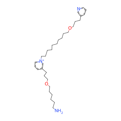 NCCCCCCOCCCc1ccc[n+](CCCCCCCCCCOCCCc2cccnc2)c1